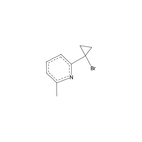 Cc1cccc(C2(Br)CC2)n1